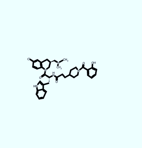 CN(C)C[C@@H]1Cc2cc(Cl)ccc2N(C(=O)[C@@H](Cc2c[nH]c3ccccc23)NC(=O)CCC2CCN(C(=O)c3ccccc3O)CC2)C1